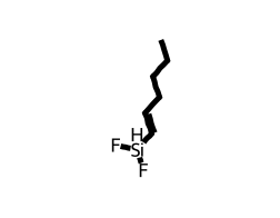 CCCCC=C[SiH](F)F